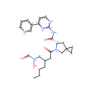 CCCCC(CC(=O)N1CC2(CC2)C[C@H]1C(=O)Nc1nccc(-c2cccnc2)n1)CN(O)C=O